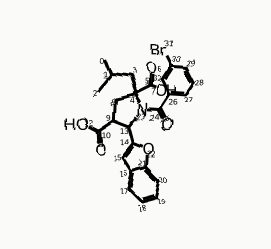 CC(C)CC1(C(=O)O)CC(C(=O)O)C(c2cc3ccccc3o2)N1C(=O)c1cccc(Br)c1